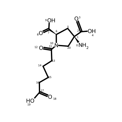 N[C@]1(C(=O)O)C[C@H](C(=O)O)N(C(=O)CCCCC(=O)O)C1